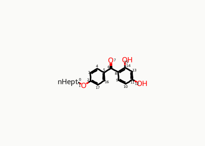 CCCCCCCOc1ccc(C(=O)c2ccc(O)cc2O)cc1